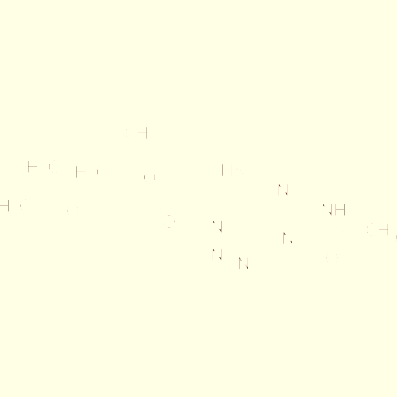 CC(=O)Nc1nc(S)c2c(nnn2COC(CCOC(C)C)OC(C)C)n1